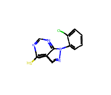 Sc1ncnc2c1cnn2-c1ccccc1Cl